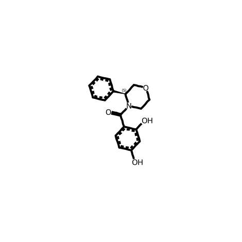 O=C(c1ccc(O)cc1O)N1CCOC[C@@H]1c1ccccc1